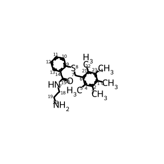 Cc1c(C)c(C)c(CSc2ccccc2C(=O)NCCN)c(C)c1C